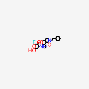 CCC(C(=O)NC(CC(=O)O)C(=O)CF)c1c(C)ccn(C=Cc2ccccc2)c1=O